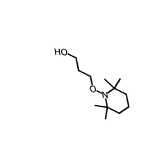 CC1(C)CCCC(C)(C)N1OCCCO